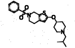 CC(C)CN1CCC(Oc2cc3c(s2)CN(S(=O)(=O)c2ccccc2)CC3)CC1